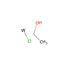 CCO.[Cl][W]